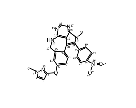 Cn1ccc(Oc2ccc3c(c2)CNc2ncnc4c2c-3c(-c2ccc([N+](=O)[O-])cc2)n4C)n1